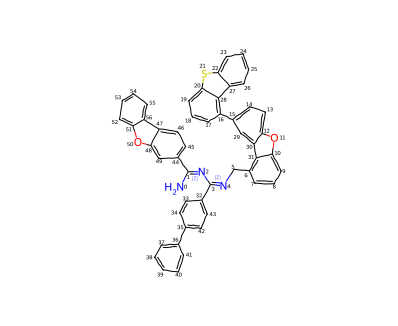 N/C(=N\C(=N/Cc1cccc2oc3ccc(-c4cccc5sc6ccccc6c45)cc3c12)c1ccc(-c2ccccc2)cc1)c1ccc2c(c1)oc1ccccc12